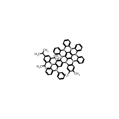 Cc1cc2c(cc1C)N1c3ccccc3B3c4ccccc4N4c5ccccc5B5c6ccccc6N6c7cc8c(cc7B2c2c1c3c4c5c26)N(c1ccccc1)c1ccccc1B8c1c(C(C)C)cc(C(C)C)cc1C(C)C